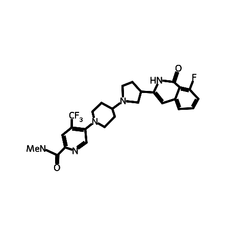 CNC(=O)c1cc(C(F)(F)F)c(N2CCC(N3CCC(c4cc5cccc(F)c5c(=O)[nH]4)C3)CC2)cn1